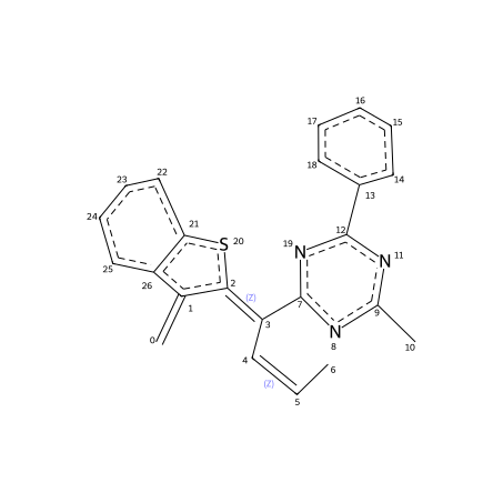 C=c1/c(=C(\C=C/C)c2nc(C)nc(-c3ccccc3)n2)sc2ccccc12